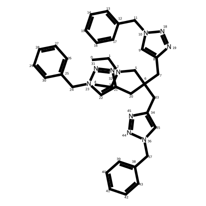 CCN(CC)CC(Cc1cn(Cc2ccccc2)nn1)(Cc1cn(Cc2ccccc2)nn1)Cc1cn(Cc2ccccc2)nn1